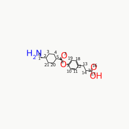 NC[C@H]1CC[C@@H](C(=O)Oc2ccc(CCC(=O)O)cc2)CC1